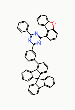 c1ccc(-c2nc(-c3cccc(-c4cccc5c4-c4ccccc4C54c5ccccc5-c5ccccc54)c3)nc(-c3cccc4oc5ccccc5c34)n2)cc1